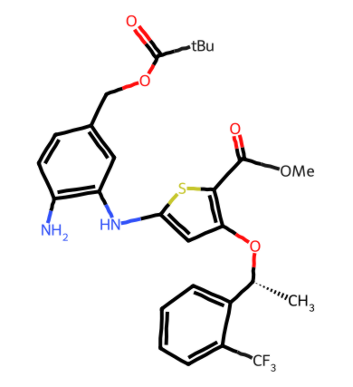 COC(=O)c1sc(Nc2cc(COC(=O)C(C)(C)C)ccc2N)cc1O[C@H](C)c1ccccc1C(F)(F)F